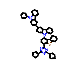 c1ccc(-c2nc(-c3ccccc3)nc(-c3ccc(-n4c5ccccc5c5cc(-c6ccc7c(c6)c6ccccc6n7-c6ccccc6)ccc54)c4c3sc3ccccc34)n2)cc1